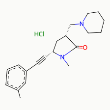 Cc1cccc(C#C[C@@H]2C[C@H](CN3CCCCC3)C(=O)N2C)c1.Cl